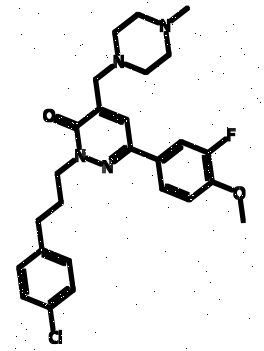 COc1ccc(-c2cc(CN3CCN(C)CC3)c(=O)n(CCCc3ccc(Cl)cc3)n2)cc1F